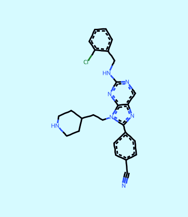 N#Cc1ccc(-c2nc3cnc(NCc4ccccc4Cl)nc3n2CCC2CCNCC2)cc1